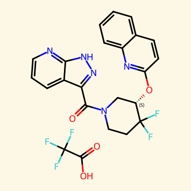 O=C(O)C(F)(F)F.O=C(c1n[nH]c2ncccc12)N1CCC(F)(F)[C@@H](Oc2ccc3ccccc3n2)C1